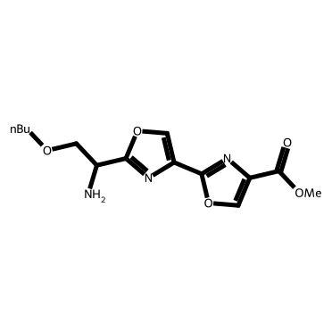 CCCCOCC(N)c1nc(-c2nc(C(=O)OC)co2)co1